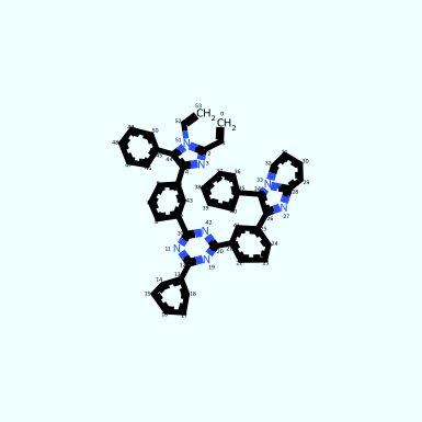 C=Cc1nc(-c2cccc(-c3nc(-c4ccccc4)nc(-c4cccc(-c5nc6ccccn6c5-c5ccccc5)c4)n3)c2)c(-c2ccccc2)n1C=C